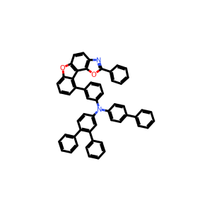 c1ccc(-c2ccc(N(c3cccc(-c4cccc5oc6ccc7nc(-c8ccccc8)oc7c6c45)c3)c3ccc(-c4ccccc4)c(-c4ccccc4)c3)cc2)cc1